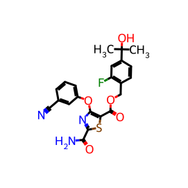 CC(C)(O)c1ccc(COC(=O)c2sc(C(N)=O)nc2Oc2cccc(C#N)c2)c(F)c1